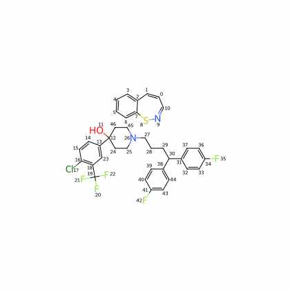 C1=Cc2ccccc2SN=C1.OC1(c2ccc(Cl)c(C(F)(F)F)c2)CCN(CCCC(c2ccc(F)cc2)c2ccc(F)cc2)CC1